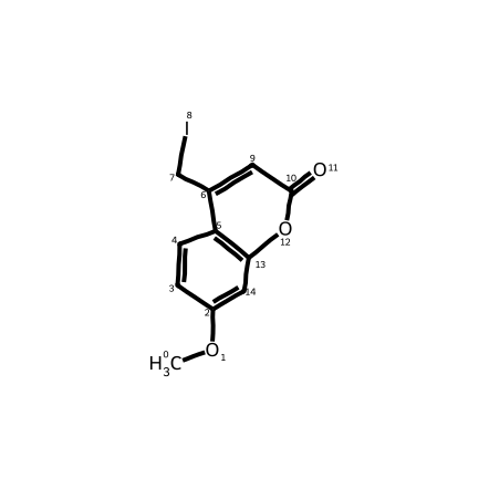 COc1ccc2c(CI)cc(=O)oc2c1